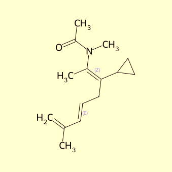 C=C(C)/C=C/C/C(=C(\C)N(C)C(C)=O)C1CC1